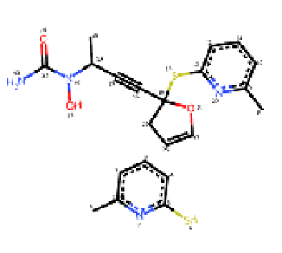 Cc1cccc(S)n1.Cc1cccc(SC2(C#CC(C)N(O)C(N)=O)CC=CO2)n1